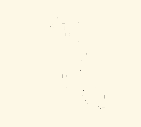 CCOC(=O)NCC(C)(C)C(=O)SCCO[P@@](=O)(NCc1ccccc1)OC[C@H]1O[C@@H](n2cnc3c(N)ncnc32)[C@](C)(Cl)[C@@H]1O